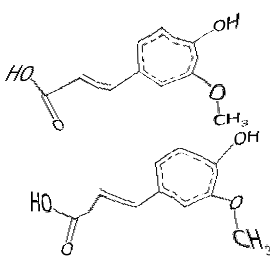 COc1cc(C=CC(=O)O)ccc1O.COc1cc(C=CC(=O)O)ccc1O